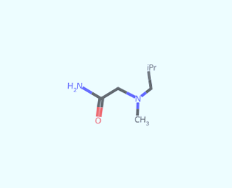 CC(C)CN(C)CC(N)=O